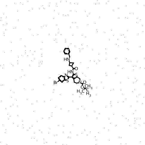 CC(C)(C)OC(=O)N1CCc2c(sc(NC(=O)C3CC(NCc4ccccc4)C3)c2-c2nc3ccc(Br)cc3s2)C1